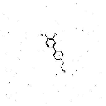 CCc1cc(C2=CCN(CCC(C)C)CC2)ccc1C(=O)O